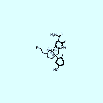 Cc1ccc(O)cc1[C@]1(Cc2[nH]c(=O)c(C(N)=O)cc2C)CCN(CCF)[C@H](C)[C@@]1(C)O